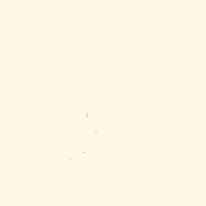 CCCCPCC1C(C2CCCCC2)CCC(C2CCCCC2)C1CPCCCC